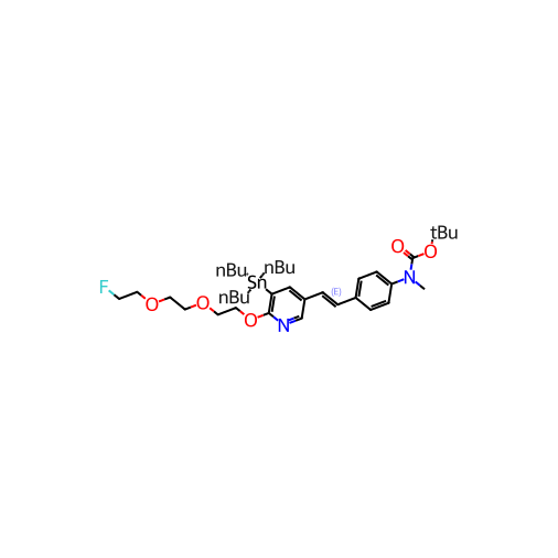 CCC[CH2][Sn]([CH2]CCC)([CH2]CCC)[c]1cc(/C=C/c2ccc(N(C)C(=O)OC(C)(C)C)cc2)cnc1OCCOCCOCCF